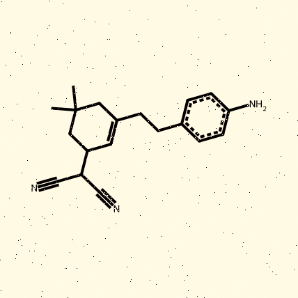 CC1(C)CC(CCc2ccc(N)cc2)=CC(C(C#N)C#N)C1